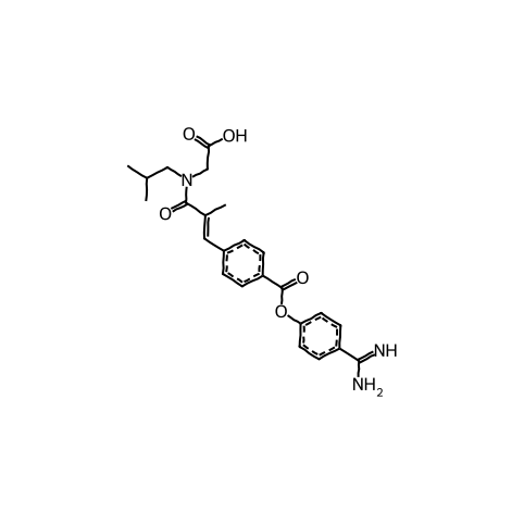 C/C(=C\c1ccc(C(=O)Oc2ccc(C(=N)N)cc2)cc1)C(=O)N(CC(=O)O)CC(C)C